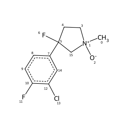 C[N+]1([O-])CCC(F)(c2ccc(F)c(Cl)c2)C1